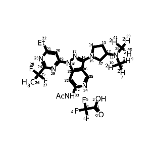 O=C(O)C(F)(F)F.[2H]C([2H])([2H])N(C1CCN(c2nn(-c3cc(CC)nc(C(C)(F)F)n3)c3cc(NC(C)=O)ncc23)C1)C([2H])([2H])[2H]